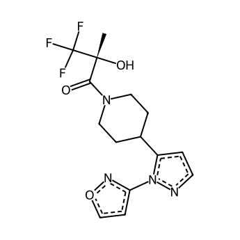 C[C@@](O)(C(=O)N1CCC(c2ccnn2-c2ccon2)CC1)C(F)(F)F